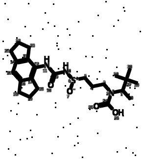 CC(N(CCC[S+]([O-])NC(=O)Nc1c2c(cc3c1CCC3)CCC2)C(=O)O)C(C)(C)C